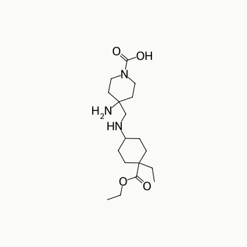 CCOC(=O)C1(CC)CCC(NCC2(N)CCN(C(=O)O)CC2)CC1